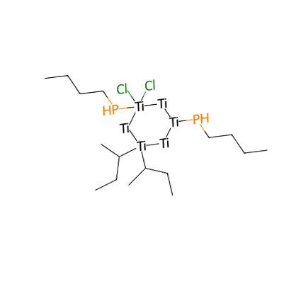 CCCC[PH][Ti]1[Ti][Ti]([CH](C)CC)([CH](C)CC)[Ti][Ti]([Cl])([Cl])([PH]CCCC)[Ti]1